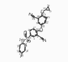 N#Cc1cc(S(=O)(=O)Nc2ccc(F)cn2)ccc1Oc1ccc(OC2CC2)c(C#N)c1